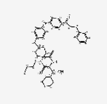 C=C1N[C@@H]([C@H](O)C2CCCCC2)C(=O)N(CCCC)C12CCN(Cc1ccc(Oc3ccc(C(=O)CCc4ccccc4)cc3)cc1)CC2